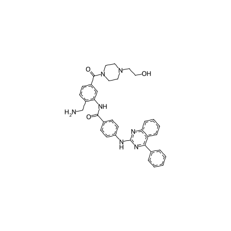 NCc1ccc(C(=O)N2CCN(CCO)CC2)cc1NC(=O)c1ccc(Nc2nc(-c3ccccc3)c3ccccc3n2)cc1